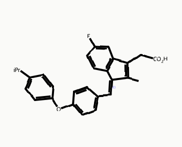 CC1=C(CC(=O)O)c2cc(F)ccc2/C1=C\c1ccc(Oc2ccc(C(C)C)cc2)cc1